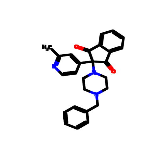 Cc1cc(C2(N3CCN(Cc4ccccc4)CC3)C(=O)c3ccccc3C2=O)ccn1